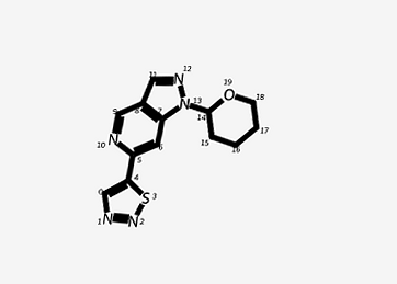 c1nnsc1-c1cc2c(cn1)cnn2C1CCCCO1